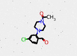 CC(=O)N1CCN(c2cc(Cl)ccc2C=O)CC1